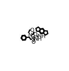 O=C(Nc1c2c(cc3c1CCC3)CCC2)NS(=O)(=O)CC(c1ccccc1)N1CCOCC1